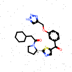 O=C(c1cccc(OCc2c[nH]nn2)c1)c1cnc([C@@H]2CCCN2C(=O)CC2CCCCC2)s1